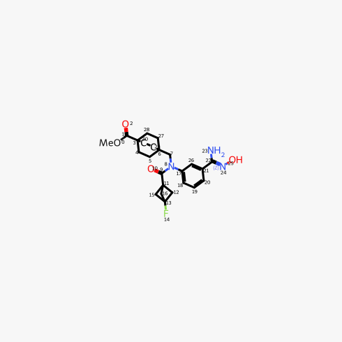 COC(=O)C12CCC(CN(C(=O)C34CC(F)(C3)C4)c3cccc(/C(N)=N/O)c3)(CC1)CC2